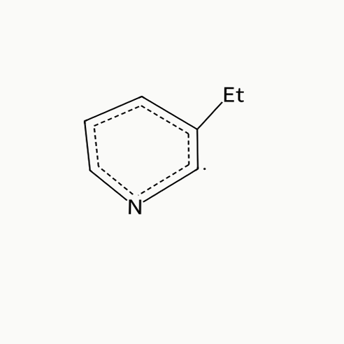 CCc1[c]nccc1